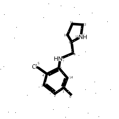 Cc1ccc(Cl)c(NCC2CCCN2)c1